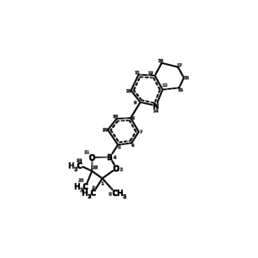 CC1(C)OB(c2ccc(-c3ccc4c(n3)CCCC4)cc2)OC1(C)C